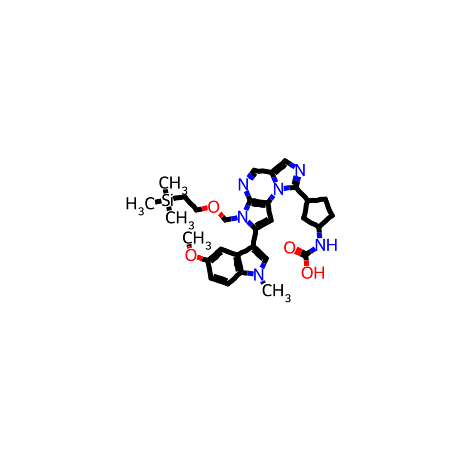 COc1ccc2c(c1)c(-c1cc3c(ncc4cnc(C5CCC(NC(=O)O)C5)n43)n1COCC[Si](C)(C)C)cn2C